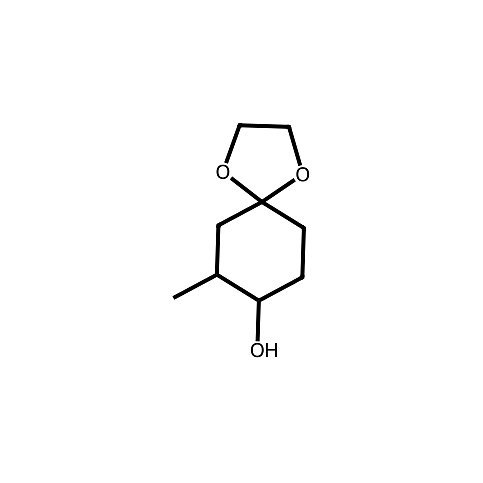 CC1CC2(CCC1O)OCCO2